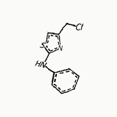 ClCc1csc(Nc2ccccc2)n1